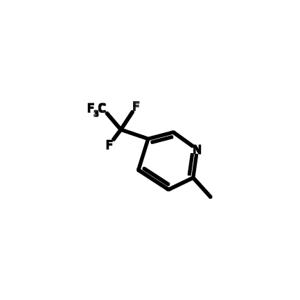 Cc1ccc(C(F)(F)C(F)(F)F)cn1